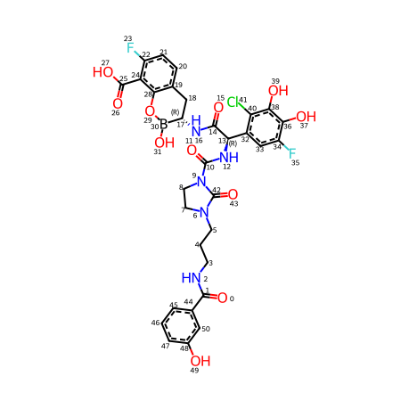 O=C(NCCCN1CCN(C(=O)N[C@@H](C(=O)N[C@H]2Cc3ccc(F)c(C(=O)O)c3OB2O)c2cc(F)c(O)c(O)c2Cl)C1=O)c1cccc(O)c1